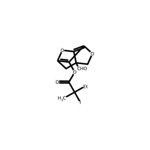 CCC(C)(I)C(=O)Oc1c2oc3c1OCC3(C=O)C2